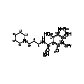 CC(C)n1c(=O)c(C(=O)NCCCN2CCCCC2)c(O)c2nn[nH]c21.[KH]